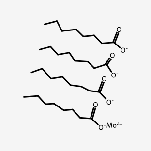 CCCCCCCC(=O)[O-].CCCCCCCC(=O)[O-].CCCCCCCC(=O)[O-].CCCCCCCC(=O)[O-].[Mo+4]